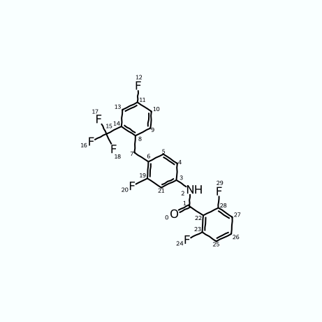 O=C(Nc1ccc(Cc2ccc(F)cc2C(F)(F)F)c(F)c1)c1c(F)cccc1F